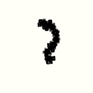 CC1(C)[C@@H](NC(=O)c2ccc(N3CCN(CC4CCN(c5ccc6c(c5)C(=O)N(C5CCC(=O)NC5=O)C6=O)CC4)CC3)cc2)C[C@@H]1Oc1ccc(C#N)c(Cl)c1